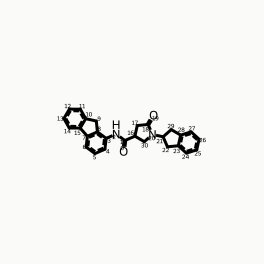 O=C(Nc1cccc2c1Cc1ccccc1-2)C1CC(=O)N(C2Cc3ccccc3C2)C1